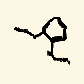 CSSc1ccccc1NN